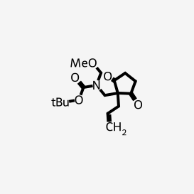 C=CCC1(CN(COC)C(=O)OC(C)(C)C)C(=O)CCC1=O